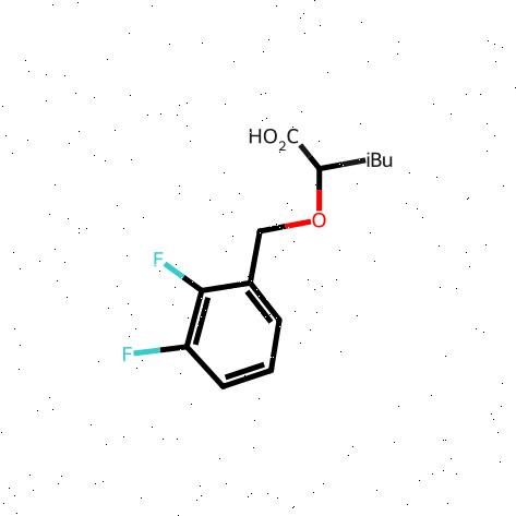 CCC(C)C(OCc1cccc(F)c1F)C(=O)O